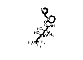 CO[C@@H](C(=O)N[C@H]1CCCCN(Cc2cccnc2)C1=O)[C@H](O)[C@@H](O)[C@H](O)/C=C/C(C)(C)C